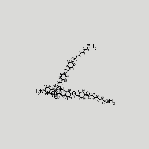 C=CCCCCCCOC1CCC(COc2ccc(/C=C/C(=O)CC(c3ccc(N)cc3N)C(O)(O)C(=O)/C=C/c3ccc(OCC4CCC(OCCCCCCC=C)CC4)cc3)cc2)CC1